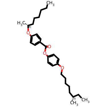 CCCCCC[C@@H](C)Oc1ccc(C(=O)Oc2ccc(OCCCCC[C@@H](C)CC)cc2)cc1